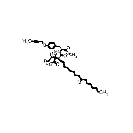 CC#CCOc1ccc(C[C@H](NC(=O)[C@@H](/C=C/CCCCCCC(=O)CCCCCCC)[C@@](O)(CCF)C(=O)O)C(=O)OC)cc1